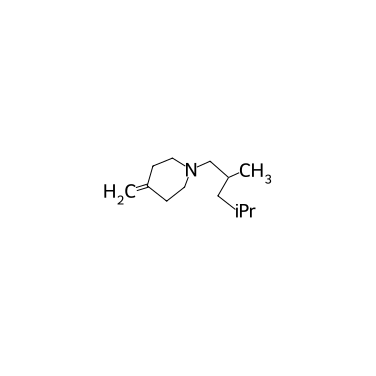 C=C1CCN(CC(C)CC(C)C)CC1